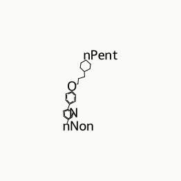 CCCCCCCCCc1ccc(-c2ccc(OCCCC3CCC(CCCCC)CC3)cc2)nc1